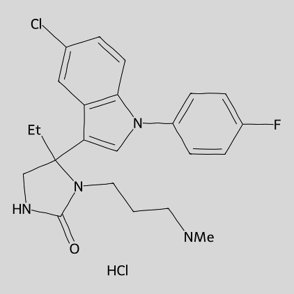 CCC1(c2cn(-c3ccc(F)cc3)c3ccc(Cl)cc23)CNC(=O)N1CCCNC.Cl